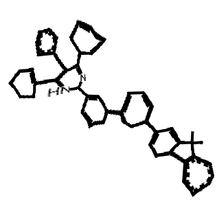 CC1(C)C2=CC(C3C=CC=C(C4C=C(C5N=C(C6C=CC=CC6)C(c6ccccc6)C(C6=CCCCC6)N5)C=CC4)C3)=CCC2c2ccccc21